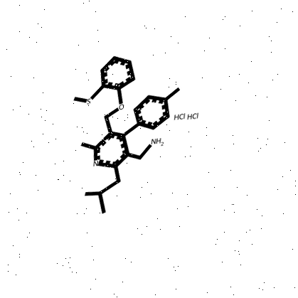 CSc1ccccc1OCc1c(C)nc(CC(C)C)c(CN)c1-c1ccc(C)cc1.Cl.Cl